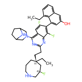 CCc1cccc2cc(O)cc(-c3c(F)cc4c(N5CC6CCC(C5)N6)nc(CC[C@]5(CC)CCCNC[C@H](F)C5)nc4c3F)c12